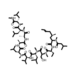 C/C=C/C[C@@H](C)CC(C(=O)N[C@@H](CC)C(=O)N(C)C(CO)C(=O)N(C)[C@@H](CC(C)C)C(=O)N[C@H](C(=O)N(C)[C@@H](CC(C)C)C(=O)N[C@@H](C)C(=O)N[C@H](C)C(=O)N(C)[C@@H](CC(C)C)C(=O)N(C)[C@@H](CC(C)C)C(=O)NC)C(C)C)N(C)C(=O)CC(C)C